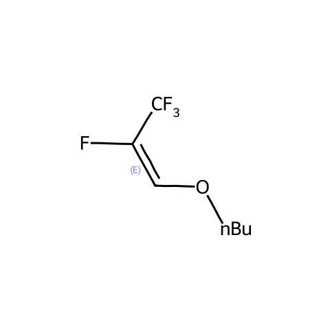 CCCCO/C=C(/F)C(F)(F)F